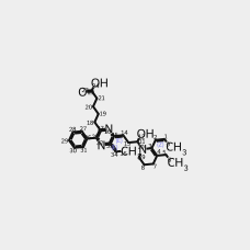 C/C=C\C1=C(CC)CCCN1C(O)C/C=c1/nc(CCCCC(=O)O)c(-c2ccccc2)n/c1=C/C